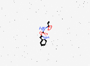 C=CC(=O)NC(=O)Oc1cc2ccccc2[nH]1